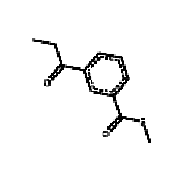 CCC(=O)c1cccc(C(=O)SC)c1